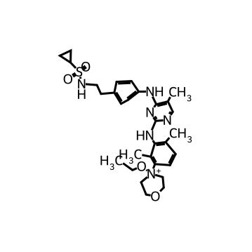 CCO[N+]1(c2ccc(C)c(Nc3ncc(C)c(Nc4ccc(CCNS(=O)(=O)C5CC5)cc4)n3)c2C)CCOCC1